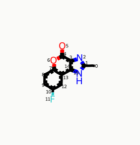 Cc1nc2c(=O)oc3ccc(F)cc3c2[nH]1